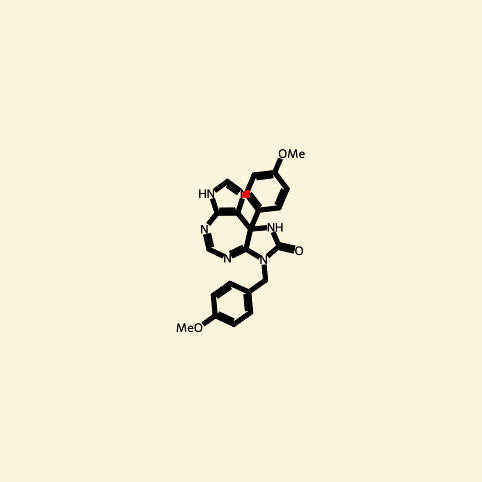 COc1ccc(CN2C(=O)NC3(c4ccc(OC)cc4)C2=NC=Nc2[nH]cnc23)cc1